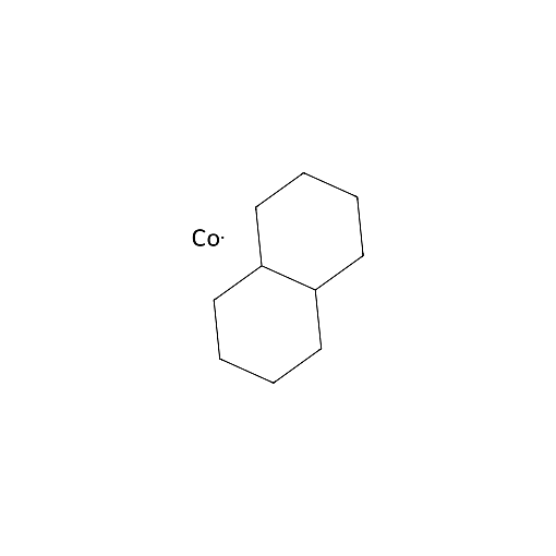 C1CCC2CCCCC2C1.[Co]